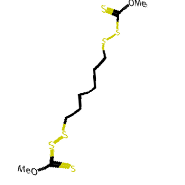 COC(=S)SSCCCCCCSSC(=S)OC